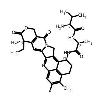 CC[C@@]1(O)C(=O)OCc2c1cc1n(c2=O)Cc2c-1nc1cc(F)c(C)c3c1c2[C@@H](NC(=O)[C@H](C)NC(=O)[C@@H](N)C(C)C)CC3